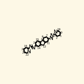 c1ccc(/N=N/c2ccc3c(c2)Cc2cc(/N=N/c4ccccn4)ccc2-3)nc1